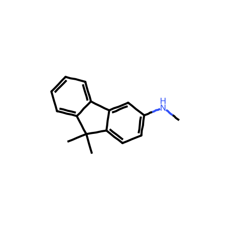 CNc1ccc2c(c1)-c1ccccc1C2(C)C